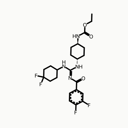 CCOC(=O)N[C@H]1CC[C@H](N/C(=N\C(=O)c2ccc(F)c(F)c2)NC2CCC(F)(F)CC2)CC1